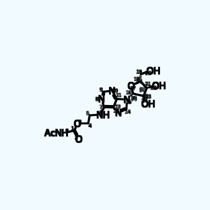 CC(=O)NC(=O)OCCNc1ncnc2c1ncn2[C@@H]1O[C@H](CO)[C@@H](O)[C@H]1O